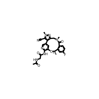 CC(=O)NCC(=O)Nc1ncc2cc1O[C@H](C)c1cc(F)ccc1C(=O)N(C)Cc1nn(C)c(C#N)c1-2